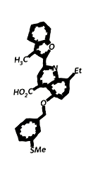 CCc1ccc(OCc2cccc(SC)c2)c2c(C(=O)O)cc(-c3oc4ccccc4c3C)nc12